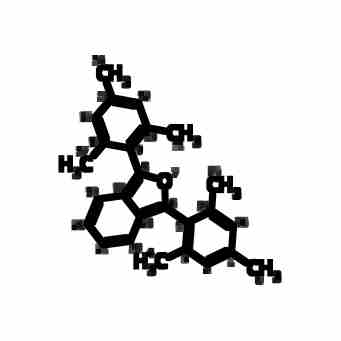 Cc1cc(C)c(-c2oc(-c3c(C)cc(C)cc3C)c3ccccc23)c(C)c1